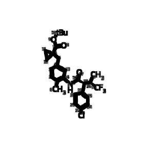 Cc1ccc(CC2(C(=O)OC(C)(C)C)CC2)cc1NC(=O)[C@H](c1ccc(Cl)cc1)[C@@H](C)C(F)(F)F